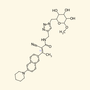 COC1OC(Cn2cc(CNC(=O)/C(C#N)=C(\C)c3ccc4cc(N5CCCCC5)ccc4c3)nn2)C(O)C(O)C1O